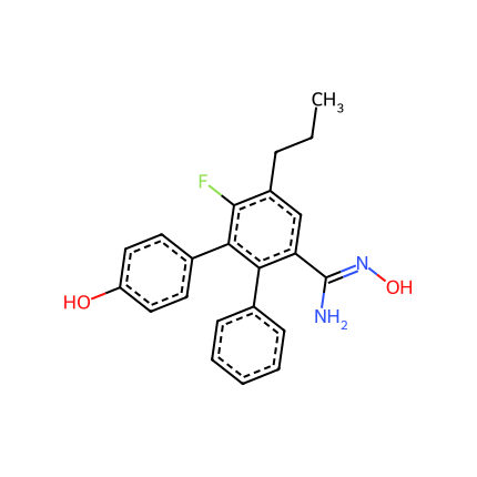 CCCc1cc(/C(N)=N/O)c(-c2ccccc2)c(-c2ccc(O)cc2)c1F